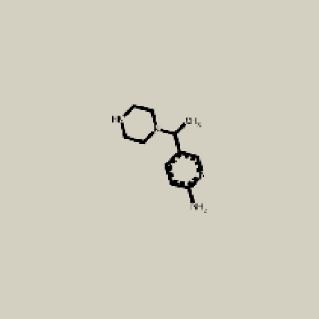 CC(c1ccc(N)nc1)N1CCNCC1